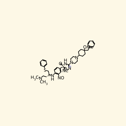 COC1(Cc2ccccc2)CCC(N2CCN(/C(=N/C#N)NS(=O)(=O)c3ccc(N[C@H](CCN(C)C)CSc4ccccc4)c(N=O)c3)CC2)CC1